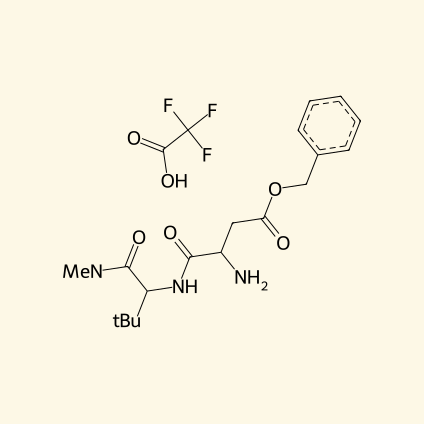 CNC(=O)C(NC(=O)C(N)CC(=O)OCc1ccccc1)C(C)(C)C.O=C(O)C(F)(F)F